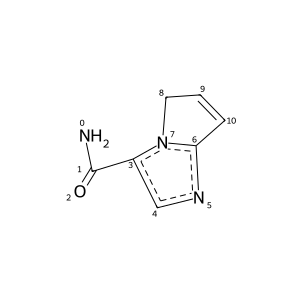 NC(=O)c1cnc2n1CC=C2